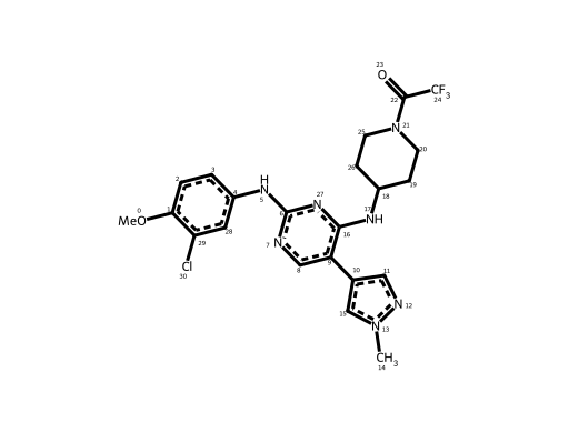 COc1ccc(Nc2ncc(-c3cnn(C)c3)c(NC3CCN(C(=O)C(F)(F)F)CC3)n2)cc1Cl